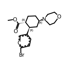 COC(=O)[C@@H]1CC[C@@H](N2CCOCC2)C[C@H]1c1ccc(Br)cc1